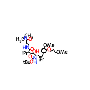 COCCCOc1cc(C[C@@H](C[C@H](NC(=O)OC(C)(C)C)[C@@H](O)C[C@H](C(=O)NCCC(=O)N(C)C)C(C)C)C(C)C)ccc1OC